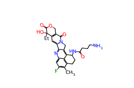 CCC1(O)C(=O)OCc2c1cc1n(c2=O)Cc2c-1nc1cc(F)c(C)c3c1c2C(NC(=O)CCCN)CC3